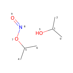 CC(C)O.CC(C)ON=O